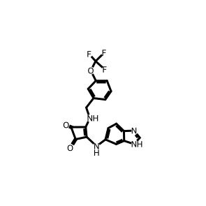 O=c1c(NCc2cccc(OC(F)(F)F)c2)c(Nc2ccc3nc[nH]c3c2)c1=O